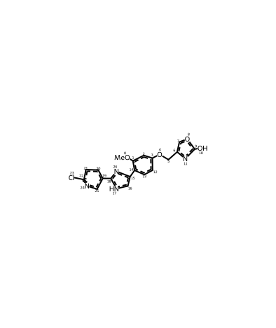 COc1cc(OCc2coc(O)n2)ccc1-c1c[nH]c(-c2ccc(Cl)nc2)n1